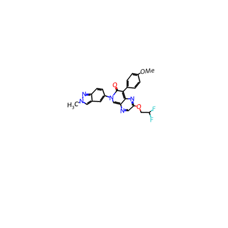 COc1ccc(-c2c(=O)n(-c3ccc4nn(C)cc4c3)cc3ncc(OCC(F)F)nc23)cc1